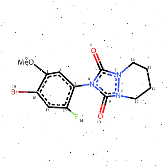 COc1cc(-n2c(=O)n3n(c2=O)CCCC3)c(F)cc1Br